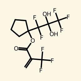 C=C(C(=O)OC1(C(F)(F)C(O)(O)C(F)(F)F)CCCC1)C(F)(F)F